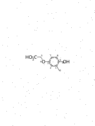 Cc1cc(OCC(=O)O)ccc1O